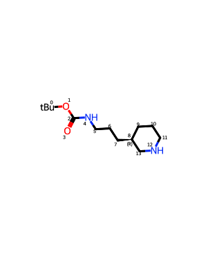 CC(C)(C)OC(=O)NCCC[C@H]1CCCNC1